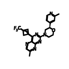 Cc1cc([C@@H]2CN(c3nc(C45CC(C(F)(F)F)(C4)C5)c4ncc(C)nc4n3)CCO2)ccn1